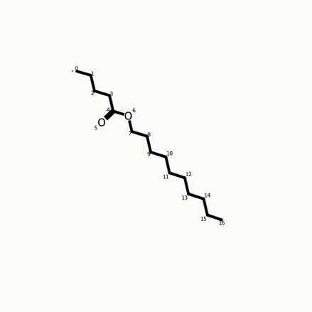 [CH2]CCCC(=O)OCCCCCCCCCC